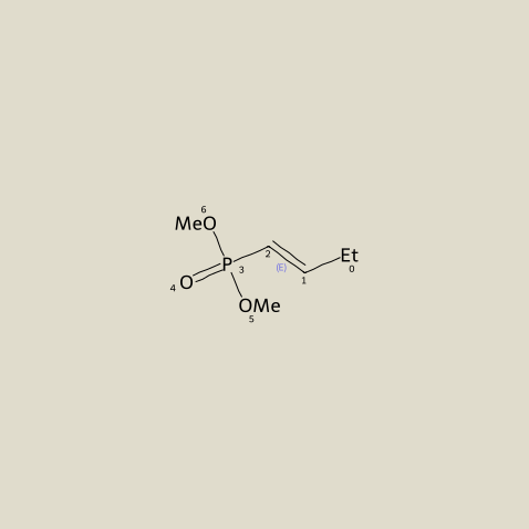 [CH2]C/C=C/P(=O)(OC)OC